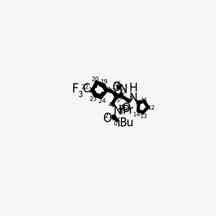 CCC(C)C(=O)N(Cc1c(C(=O)NC2CCCC2)noc1-c1ccc(C(F)(F)F)cc1)C(C)C